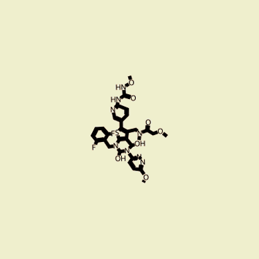 COCC(=O)N(C)Cc1c(-c2ccc(NC(=O)NOC)nc2)sc2c1C(O)N(c1ccc(OC)nn1)C(O)N2Cc1c(F)cccc1F